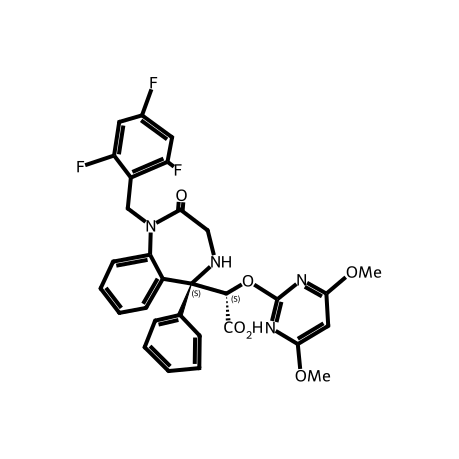 COc1cc(OC)nc(O[C@H](C(=O)O)[C@@]2(c3ccccc3)NCC(=O)N(Cc3c(F)cc(F)cc3F)c3ccccc32)n1